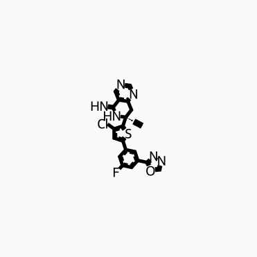 C#C[C@@]1(c2sc(-c3cc(F)cc(-c4nnco4)c3)cc2Cl)Cc2ncncc2C(=N)N1